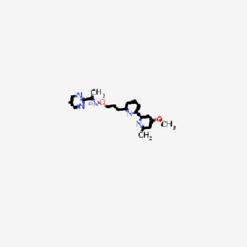 COc1cc(C)nc(-c2cccc(CCCO/N=C(\C)c3ncccn3)n2)c1